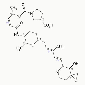 CC(/C=C/C1OCC[C@@]2(CO2)[C@@H]1O)=C\C[C@H]1CC[C@@H](NC(=O)/C=C\[C@H](C)OC(=O)N2CC[C@H](C(=O)O)C2)[C@@H](C)O1